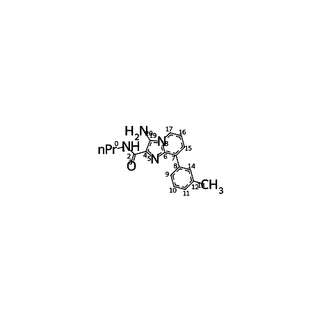 CCCNC(=O)c1nc2c(-c3cccc(C)c3)cccn2c1N